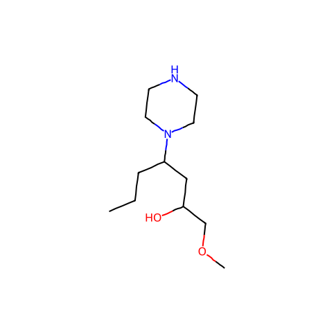 CCCC(CC(O)COC)N1CCNCC1